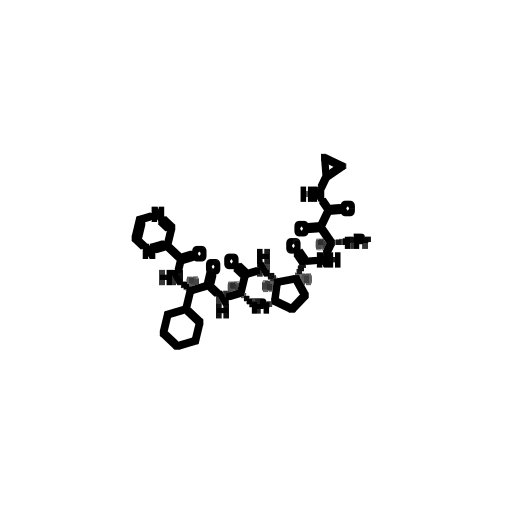 CCC[C@H](NC(=O)[C@@H]1CCC[C@@H]1NC(=O)[C@@H](NC(=O)[C@@H](NC(=O)c1cnccn1)C1CCCCC1)C(C)C)C(=O)C(=O)NC1CC1